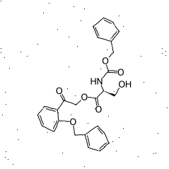 O=C(N[C@@H](CO)C(=O)OCC(=O)c1ccccc1OCc1ccccc1)OCc1ccccc1